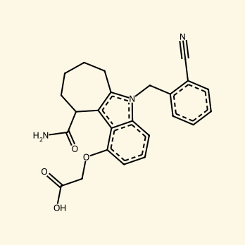 N#Cc1ccccc1Cn1c2c(c3c(OCC(=O)O)cccc31)C(C(N)=O)CCCC2